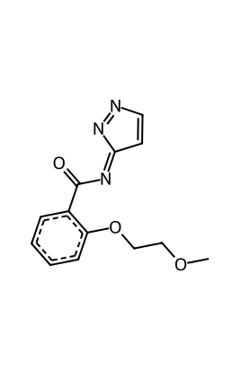 COCCOc1ccccc1C(=O)/N=C1/C=CN=N1